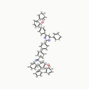 c1ccc(-c2cc(-c3ccc(-c4cccc5c4oc4ccccc45)cc3)nc(-c3ccc(-c4ccc(-c5nc6ccccc6c6c(-c7ccccc7)c7c(cc56)oc5ccccc57)cc4)cc3)n2)cc1